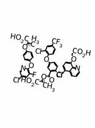 C[C@@H](Oc1ccc(Oc2ncc(Cl)cc2F)cc1)C(=O)O.C[C@H](OC(=O)c1cc(Oc2ccc(C(F)(F)F)cc2Cl)ccc1Cl)C(=O)O.O=C(O)COc1ccc(Cl)c2cccnc12